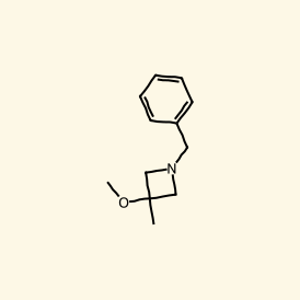 COC1(C)CN(Cc2ccccc2)C1